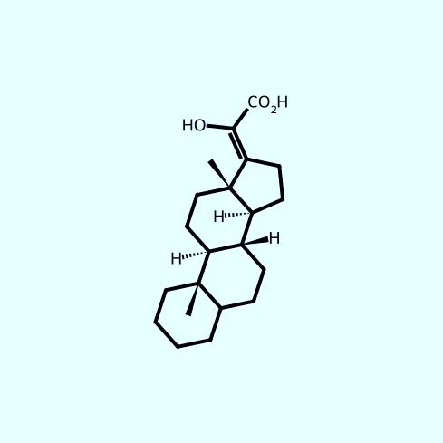 C[C@]12CCCCC1CC[C@@H]1[C@@H]2CC[C@]2(C)C(=C(O)C(=O)O)CC[C@@H]12